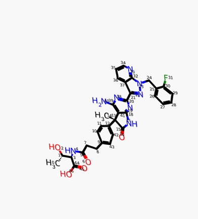 C[C@H](O)[C@@H](NC(=O)CCc1ccc([C@@]2(C)C(=O)Nc3nc(-c4nn(Cc5ccccc5F)c5ncccc45)nc(N)c32)cc1)C(=O)O